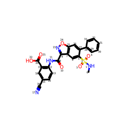 CNS(=O)(=O)c1cc2c(C(=O)Nc3ccc(C#N)cc3C(=O)O)noc2cc1-c1ccccc1